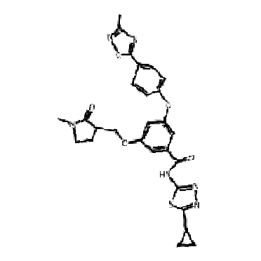 Cc1noc(-c2ccc(Oc3cc(OCC4CCN(C)C4=O)cc(C(=O)Nc4nnc(C5CC5)s4)c3)cc2)n1